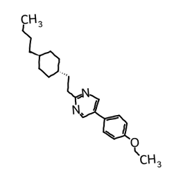 CCCC[C@H]1CC[C@H](CCc2ncc(-c3ccc(OCC)cc3)cn2)CC1